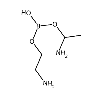 CC(N)OB(O)OCCN